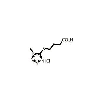 Cl.Cn1nnnc1SCCCC(=O)O